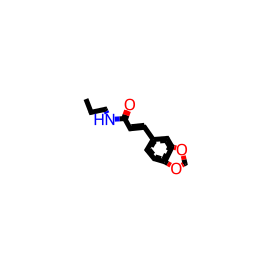 CCCNC(=O)/C=C/c1ccc2c(c1)OCO2